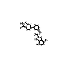 Cc1ccc(F)c2c1NC(C(=O)Nc1cccc(N3CCN4C(=O)NCC4C3)c1)C2